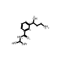 CCCC(CCC)NC(=O)c1cccc(C(O)CCN)c1